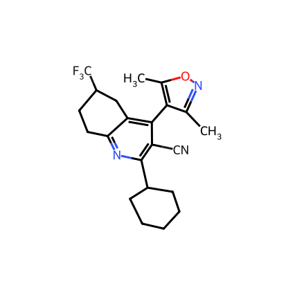 Cc1noc(C)c1-c1c(C#N)c(C2CCCCC2)nc2c1CC(C(F)(F)F)CC2